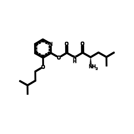 CC(C)CCOc1cccnc1OC(=O)NC(=O)[C@@H](N)CC(C)C